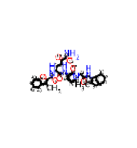 Cc1c(C(=O)NC(CCC(=O)C(N)=O)C(=O)Nc2cccn(CC(=O)NC3C(C)CC4CCCC3C4)c2=O)oc2ccccc12